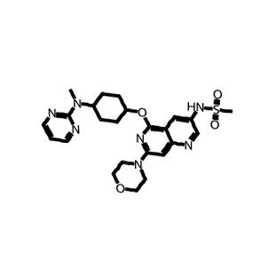 CN(c1ncccn1)C1CCC(Oc2nc(N3CCOCC3)cc3ncc(NS(C)(=O)=O)cc23)CC1